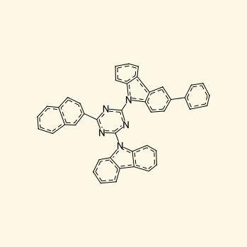 c1ccc(-c2ccc3c(c2)c2ccccc2n3-c2nc(-c3ccc4ccccc4c3)nc(-n3c4ccccc4c4ccccc43)n2)cc1